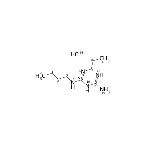 CCCCNC(=NCCC)NC(=N)N.Cl